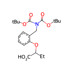 CCC(Oc1ccccc1CN(C(=O)OC(C)(C)C)C(=O)OC(C)(C)C)C(=O)O